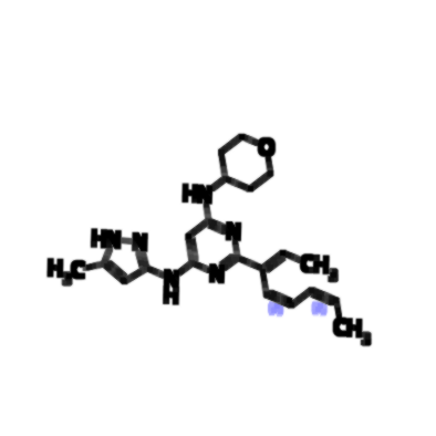 CC=C(/C=C\C=C/C)c1nc(Nc2cc(C)[nH]n2)cc(NC2CCOCC2)n1